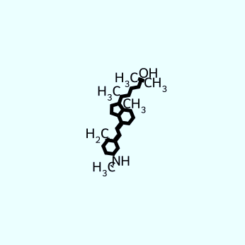 C=C1CC[C@@H](NC)C/C1=C/C=C1\CCC[C@@]2(C)C1CCC2[C@H](C)CCCC(C)(C)O